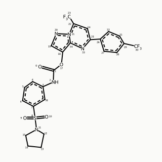 O=C(Nc1cccc(S(=O)(=O)N2CCCC2)c1)Oc1cnn2c(C(F)(F)F)cc(-c3ccc(C(F)(F)F)cc3)nc12